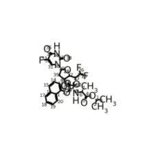 CC(C)OC(=O)[C@H](C)N[P@](=O)(Oc1cccc2ccccc12)O[C@H](C(F)F)[C@H]1O[C@@H](n2cc(F)c(=O)[nH]c2=O)C[C@@H]1O